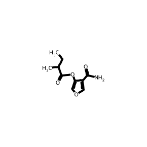 CCC(C)C(=O)Oc1cocc1C(N)=O